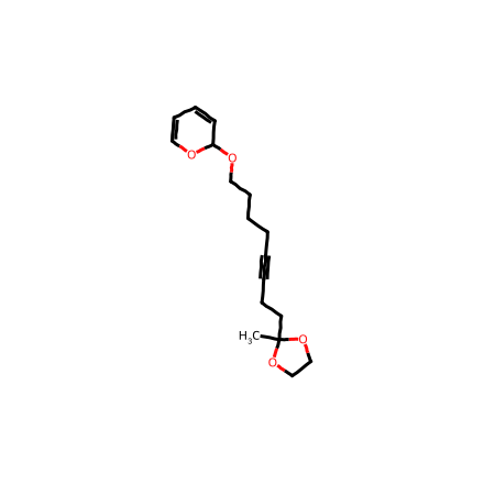 CC1(CCC#CCCCCOC2C=CC=CO2)OCCO1